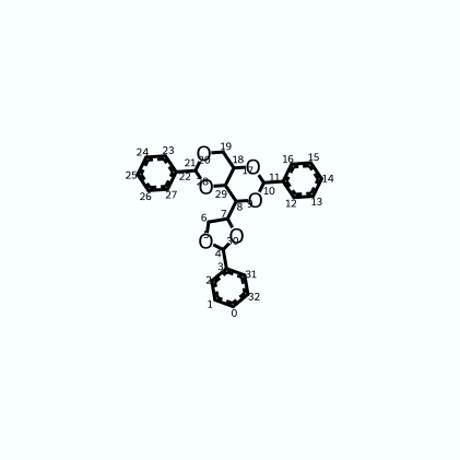 c1ccc(C2OCC(C3OC(c4ccccc4)OC4COC(c5ccccc5)OC43)O2)cc1